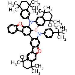 CC(C)(C)c1ccc(N2B3c4cc5c(cc4N(c4ccc6c(c4)C(C)(C)CCC6(C)C)c4c3c(cc3c4oc4ccccc43)-c3cc4c(cc32)oc2cc3c(cc24)C(C)(C)CCC3(C)C)C(C)(C)CCC5(C)C)cc1